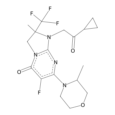 CC1COCCN1c1nc2n(c(=O)c1F)CC(C)(C(F)(F)F)N2CC(=O)C1CC1